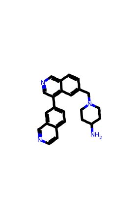 NC1CCN(Cc2ccc3cncc(-c4ccc5ccncc5c4)c3c2)CC1